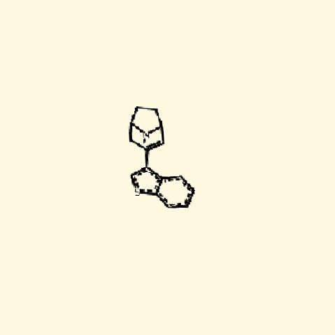 CN1C2C=C(c3csc4ccccc34)CC1CC2